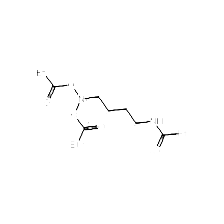 CCC(=O)NCCCCN(OC(=O)CC)OC(=O)CC